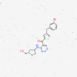 C[C@H]1C[C@H](Nc2ncncc2C(=O)c2cc(Cc3cccc(Br)c3)cs2)C[C@@H]1CO